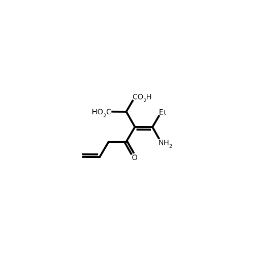 C=CCC(=O)C(=C(N)CC)C(C(=O)O)C(=O)O